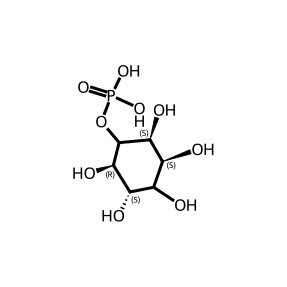 O=P(O)(O)OC1[C@@H](O)[C@@H](O)C(O)[C@H](O)[C@H]1O